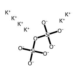 [K+].[K+].[K+].[K+].[K+].[K+].[O-][Si]([O-])([O-])O[Si]([O-])([O-])[O-]